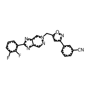 N#Cc1cccc(-c2cc(Cn3cc4nc(-c5cccc(F)c5F)nc-4cn3)on2)c1